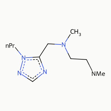 CCCn1ncnc1CN(C)CCNC